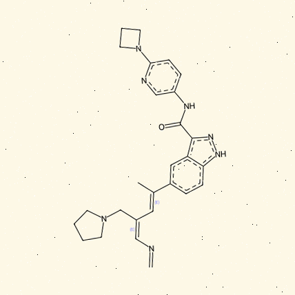 C=N/C=C(\C=C(/C)c1ccc2[nH]nc(C(=O)Nc3ccc(N4CCC4)nc3)c2c1)CN1CCCC1